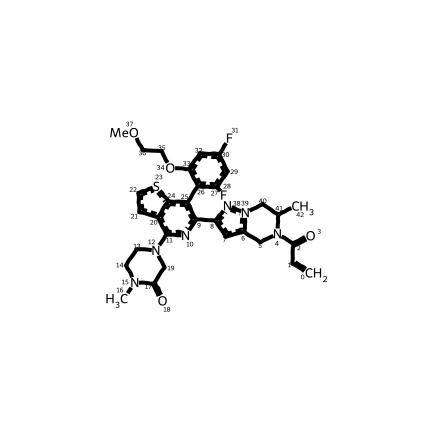 C=CC(=O)N1Cc2cc(-c3nc(N4CCN(C)C(=O)C4)c4ccsc4c3-c3c(F)cc(F)cc3OCCOC)nn2CC1C